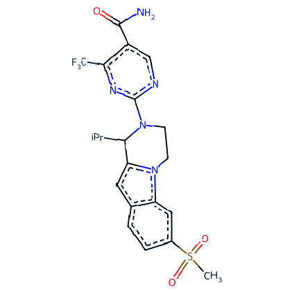 CC(C)C1c2cc3ccc(S(C)(=O)=O)cc3n2CCN1c1ncc(C(N)=O)c(C(F)(F)F)n1